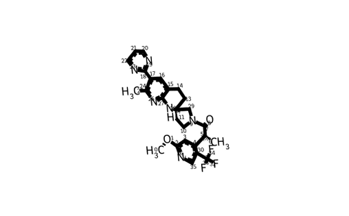 COc1cc([C@H](C)C(=O)N2CC[C@@]3(CCc4cc(-c5ncccn5)c(C)nc4N3)C2)c(C(F)(F)F)cn1